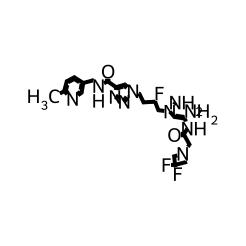 Cc1ccc(CNC(=O)c2cn(CCC(F)CN(N)/C=C(\N)NC(=O)CN3CC(F)(F)C3)nn2)cn1